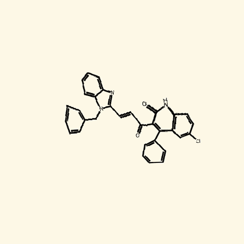 O=C(C=Cc1nc2ccccc2n1Cc1ccccc1)c1c(-c2ccccc2)c2cc(Cl)ccc2[nH]c1=O